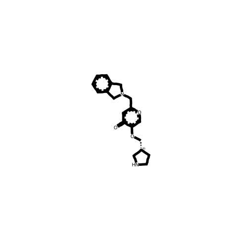 O=c1cc(CN2Cc3ccccc3C2)occ1OC[C@@H]1CCNC1